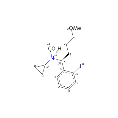 COCCC[C@@H](c1ccccc1I)N(C(=O)O)C1CC1